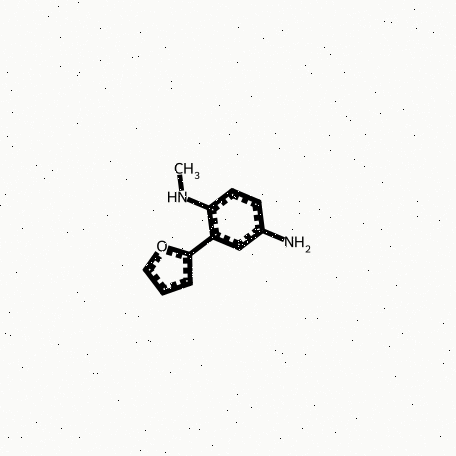 CNc1ccc(N)cc1-c1ccco1